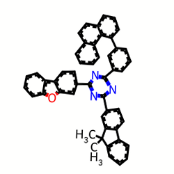 CC1(C)c2ccccc2-c2ccc(-c3nc(-c4cccc(-c5cccc6ccc7ccccc7c56)c4)nc(-c4ccc5c(c4)oc4ccccc45)n3)cc21